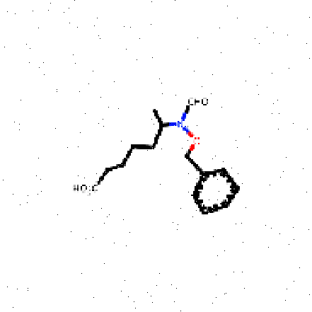 CC(CCCCC(=O)O)N(C=O)OCc1ccccc1